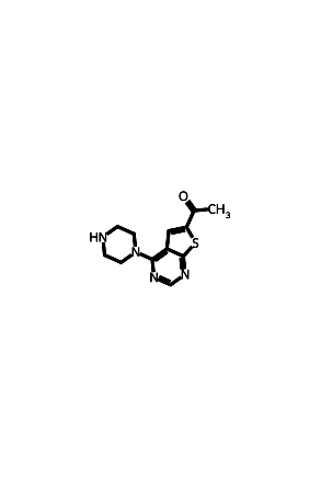 CC(=O)c1cc2c(N3CCNCC3)ncnc2s1